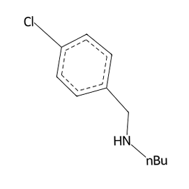 CCCCNCc1ccc(Cl)cc1